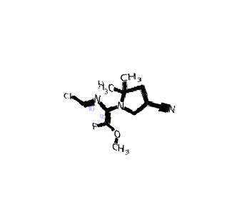 CO/C(F)=C(/N=C/Cl)N1CC(C#N)CC1(C)C